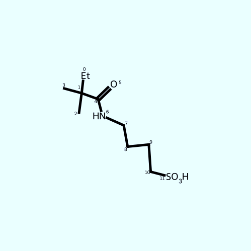 CCC(C)(C)C(=O)NCCCCS(=O)(=O)O